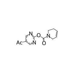 CC(=O)c1cnc(OC(=O)N2CC=CCC2)nc1